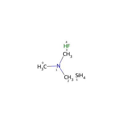 CN(C)C.F.[SiH4]